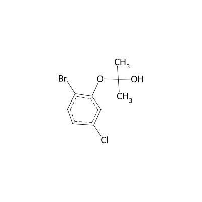 CC(C)(O)Oc1cc(Cl)ccc1Br